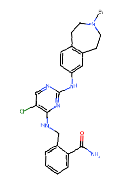 CCN1CCc2ccc(Nc3ncc(Cl)c(NCc4ccccc4C(N)=O)n3)cc2CC1